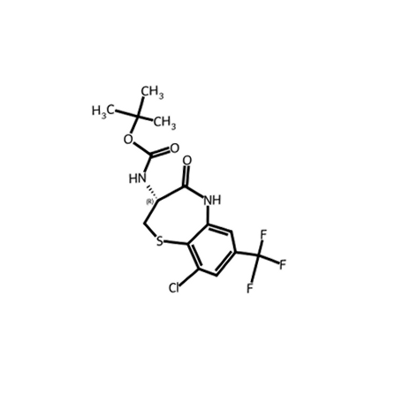 CC(C)(C)OC(=O)N[C@H]1CSc2c(Cl)cc(C(F)(F)F)cc2NC1=O